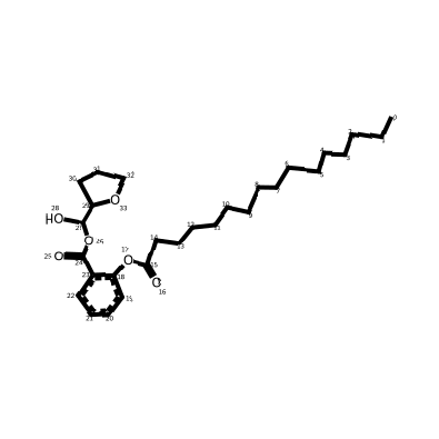 CCCCCCCCCCCCCCCC(=O)Oc1ccccc1C(=O)OC(O)C1CCCO1